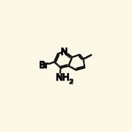 Cc1ccc2c(N)c(Br)cnc2c1